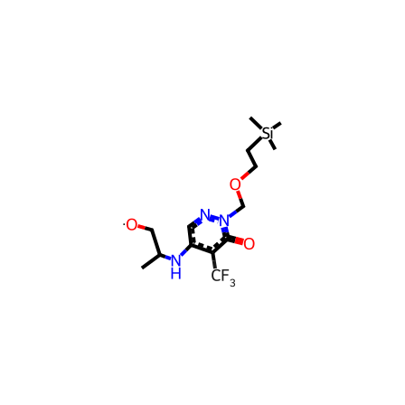 CC(C[O])Nc1cnn(COCC[Si](C)(C)C)c(=O)c1C(F)(F)F